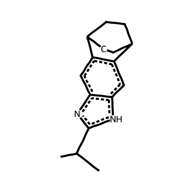 CC(C)c1nc2cc3c(cc2[nH]1)C1CCC3CC1